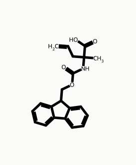 C=CCC(C)(NC(=O)OCC1c2ccccc2-c2ccccc21)C(=O)O